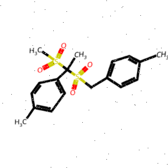 Cc1ccc([CH]S(=O)(=O)C(C)(c2ccc(C)cc2)S(C)(=O)=O)cc1